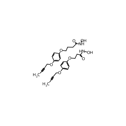 CC#CCOc1ccc(OCCC(=O)NO)cc1.CC#CCOc1ccc(OCCCC(=O)NO)cc1